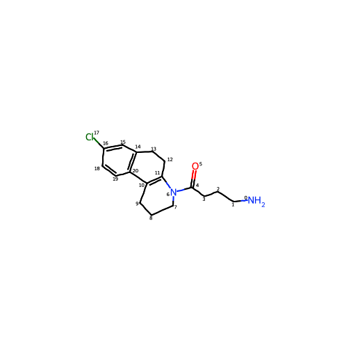 NCCCC(=O)N1CCCC2=C1CCc1cc(Cl)ccc12